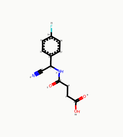 N#CC(NC(=O)CCC(=O)O)c1ccc(F)cc1